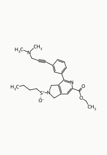 CCCC[S@@+]([O-])N1Cc2cc(C(=O)OCC)nc(-c3cccc(C#CCN(C)C)c3)c2C1